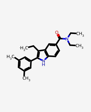 [CH2]Cc1c(-c2cc(C)cc(C)c2)[nH]c2ccc(C(=O)N(CC)CC)cc12